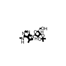 CNc1ncnc2c1c(C)cn2[C@@H]1O[C@H](CO)[C@H]2OC(C)(C)O[C@H]21